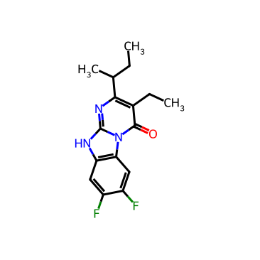 CCc1c(C(C)CC)nc2[nH]c3cc(F)c(F)cc3n2c1=O